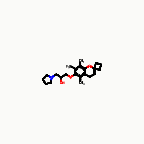 Cc1c(C)c2c(c(C)c1OCC(O)CN1CCCC1)CCC1(CCC1)O2